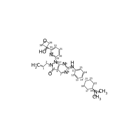 C=CCn1c(=O)c2cnc(Nc3ccc([C@H]4CC[C@H](N(C)C)CC4)cc3)nc2n1-c1cccc(C2(O)COC2)n1